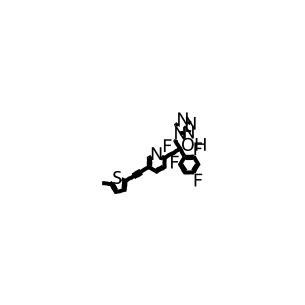 Cc1ccc(C#Cc2ccc(C(F)(F)C(O)(Cn3cnnn3)c3ccc(F)cc3F)nc2)s1